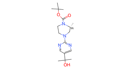 C[C@@H]1CN(c2ncc(C(C)(C)O)cn2)CCN1C(=O)OC(C)(C)C